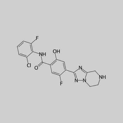 O=C(Nc1c(F)cccc1Cl)c1cc(F)c(-c2nc3n(n2)CCNC3)cc1O